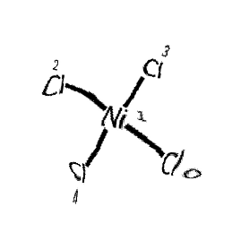 [Cl][Ni]([Cl])([Cl])[Cl]